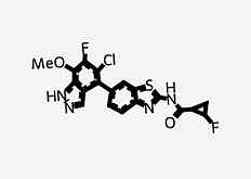 COc1c(F)c(Cl)c(-c2ccc3nc(NC(=O)C4CC4F)sc3c2)c2cn[nH]c12